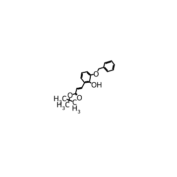 CC(C)(C)OC(=O)/C=C/c1cccc(OCc2ccccc2)c1O